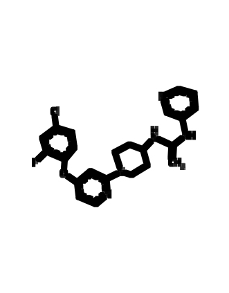 C=C(Nc1cccnc1)NC1CCN(c2cc(Oc3ccc(Cl)cc3F)ccn2)CC1